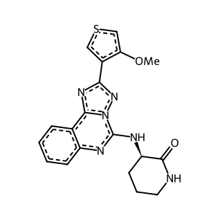 COc1cscc1-c1nc2c3ccccc3nc(N[C@@H]3CCCNC3=O)n2n1